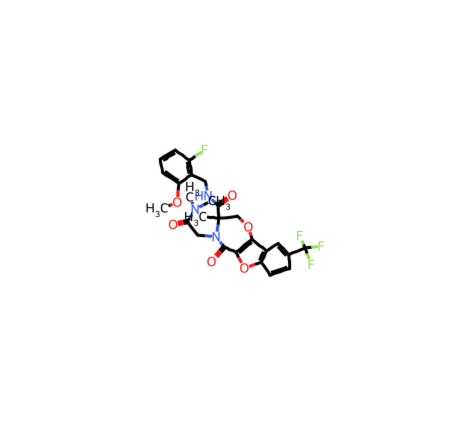 COc1cccc(F)c1CNC(=O)C1(C)COc2c(oc3ccc(C(F)(F)F)cc23)C(=O)N1CC(=O)N(C)C